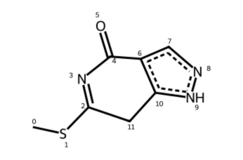 CSC1=NC(=O)c2cn[nH]c2C1